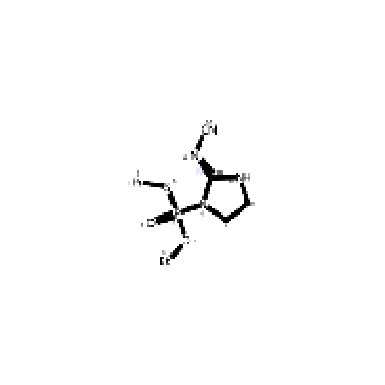 CCOP(=O)(SC(C)C)N1CCN/C1=N\C#N